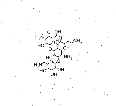 NCC[C@H](O)C(=O)N[C@@H]1C[C@H](N)[C@@H](O[C@@H]2O[C@H](CN)[C@@H](O)[C@H](O)[C@H]2O)[C@@H](O)[C@H]1O[C@@H]1O[C@H](CO)[C@@H](O)[C@@H](N)[C@H]1O